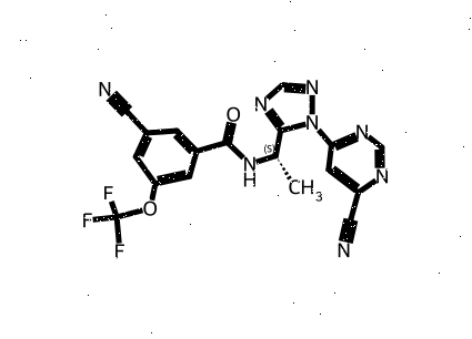 C[C@H](NC(=O)c1cc(C#N)cc(OC(F)(F)F)c1)c1ncnn1-c1cc(C#N)ncn1